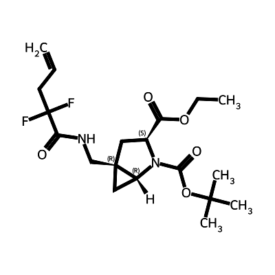 C=CCC(F)(F)C(=O)NC[C@@]12C[C@@H](C(=O)OCC)N(C(=O)OC(C)(C)C)[C@@H]1C2